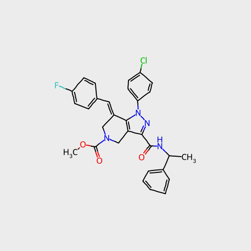 COC(=O)N1C/C(=C\c2ccc(F)cc2)c2c(c(C(=O)NC(C)c3ccccc3)nn2-c2ccc(Cl)cc2)C1